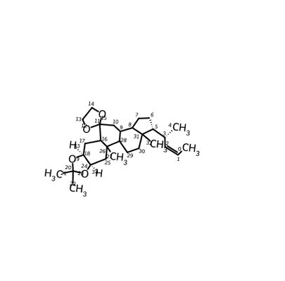 C/C=C\[C@@H](C)[C@H]1CCC2C3CC4(OCCO4)C4C[C@@H]5OC(C)(C)O[C@@H]5CC4(C)C3CCC21C